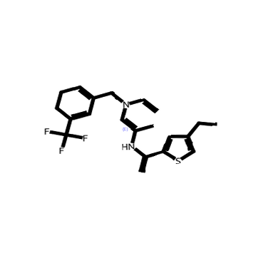 C=CN(/C=C(\C)NC(=C)c1cc(CC)cs1)CC1=CCCC(C(F)(F)F)=C1